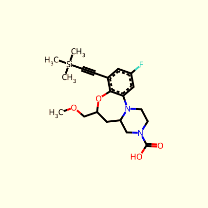 COCC1CC2CN(C(=O)O)CCN2c2cc(F)cc(C#C[Si](C)(C)C)c2O1